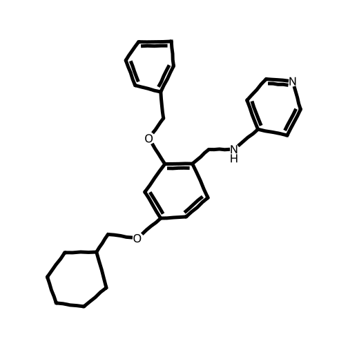 c1ccc(COc2cc(OCC3CCCCC3)ccc2CNc2ccncc2)cc1